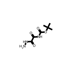 CC(C)(C)OC(=O)NC(=O)C(=O)NN